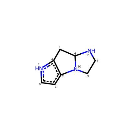 c1cc2c([nH]1)CC1NCCN21